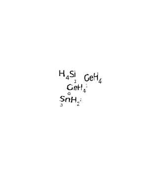 [GeH4].[GeH4].[SiH4].[SnH2]